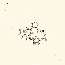 OCC1CCCN1c1nc(Nc2cn(C3CC3)cn2)c2cccn2n1